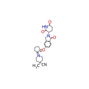 CC1(C#N)CCN([C@H]2CCC[C@H]2Oc2ccc3c(c2)CN(C2CCC(=O)NC2=O)C3=O)CC1